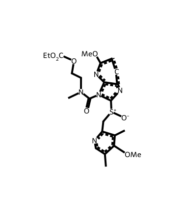 CCOC(=O)OCCN(C)C(=O)n1c([S+]([O-])Cc2ncc(C)c(OC)c2C)nc2ccc(OC)nc21